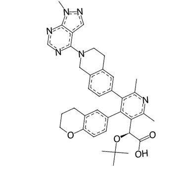 Cc1nc(C)c([C@H](OC(C)(C)C)C(=O)O)c(-c2ccc3c(c2)CCCO3)c1-c1ccc2c(c1)CCN(c1ncnc3c1cnn3C)C2